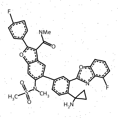 CNC(=O)c1c(-c2ccc(F)cc2)oc2cc(N(C)S(C)(=O)=O)c(-c3ccc(C4(N)CC4)c(-c4nc5c(F)cccc5o4)c3)cc12